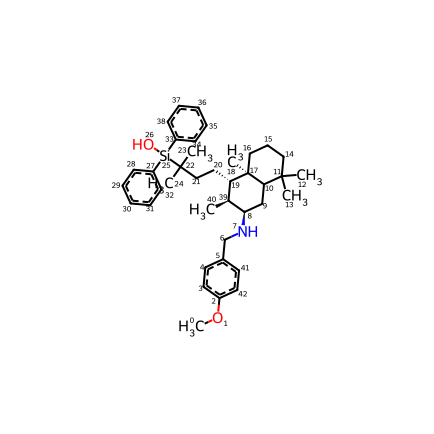 COc1ccc(CN[C@@H]2CC3C(C)(C)CCC[C@]3(C)[C@@H](CCC(C)(C)[Si](O)(c3ccccc3)c3ccccc3)[C@@H]2C)cc1